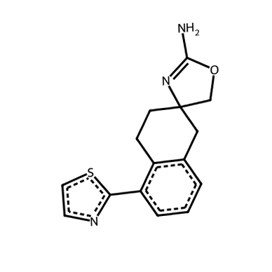 NC1=NC2(CCc3c(cccc3-c3nccs3)C2)CO1